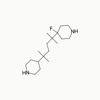 CC(C)(CCC(C)(C)C1(F)CCNCC1)C1CCNCC1